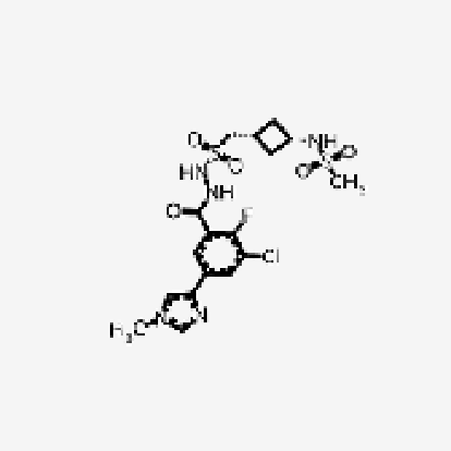 Cn1cnc(-c2cc(Cl)c(F)c(C(=O)NNS(=O)(=O)C[C@H]3C[C@@H](NS(C)(=O)=O)C3)c2)c1